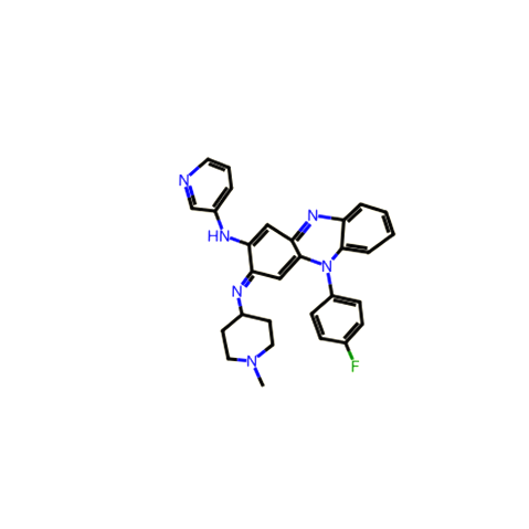 CN1CCC(/N=c2\cc3n(-c4ccc(F)cc4)c4ccccc4nc-3cc2Nc2cccnc2)CC1